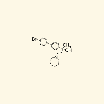 CC(O)(CCN1CCCCCC1)c1ccc(-c2ccc(Br)cc2)cc1